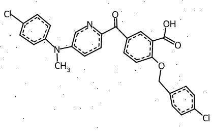 CN(c1ccc(Cl)cc1)c1ccc(C(=O)c2ccc(OCc3ccc(Cl)cc3)c(C(=O)O)c2)nc1